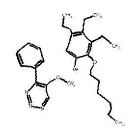 CCCCCCOc1c(O)cc(CC)c(CC)c1CC.COc1cnnnc1-c1ccccc1